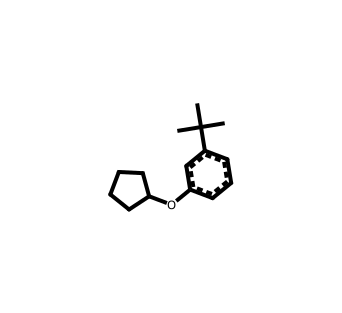 CC(C)(C)c1cccc(OC2CCCC2)c1